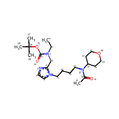 CCN(Cc1nccn1CCCCN(C(C)=O)C1CCOCC1)C(=O)OC(C)(C)C